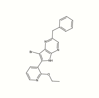 CCOc1ncccc1-c1[nH]c2ncc(Cc3ccccc3)nc2c1Br